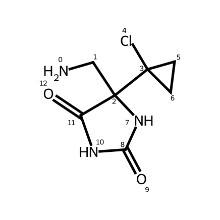 NCC1(C2(Cl)CC2)NC(=O)NC1=O